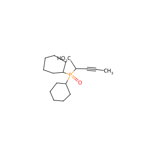 CC#CC(C(=O)O)P(=O)(C1CCCCC1)C1CCCCC1